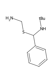 CC(C)(C)NC(SCN)c1ccccc1